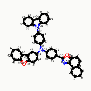 c1ccc2c(c1)ccc1oc(-c3ccc(N(c4ccc(-n5c6ccccc6c6ccccc65)cc4)c4ccc5oc6ccccc6c5c4)cc3)nc12